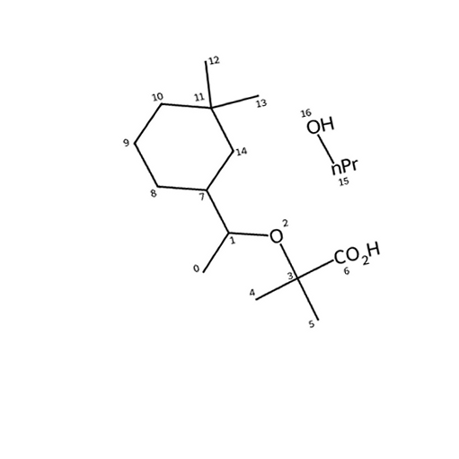 CC(OC(C)(C)C(=O)O)C1CCCC(C)(C)C1.CCCO